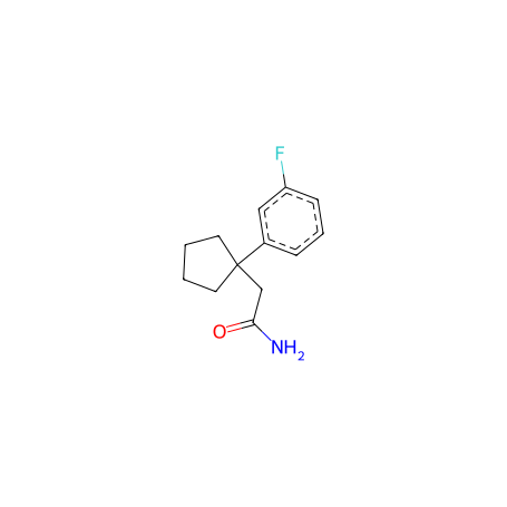 NC(=O)CC1(c2cccc(F)c2)CCCC1